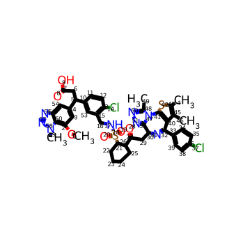 COc1cc(C(CC(=O)O)c2ccc(Cl)c(CNS(=O)(=O)C3CCCCC3C(=O)CC3N=C(c4ccc(Cl)cc4)c4c(sc(C)c4C)-n4c(C)nnc43)c2)cc2nnn(C)c12